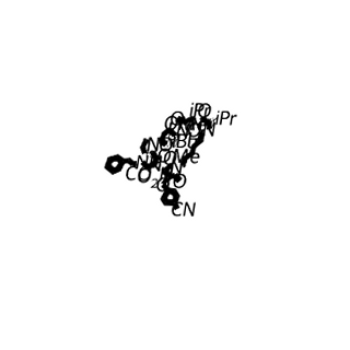 CC[C@@H](C)[C@@H]([C@@H](CC(=O)N1CCC[C@H]1[C@H](OC)[C@@H](C)C(=O)NC(Cc1ccccc1)C(=O)O)OC)N(C)C(=O)[C@@H](NC(=O)[C@H](C(C)C)N(C)C(=O)CCCCCN1C(=O)C=C(Oc2ccc(C#N)cc2)C1=O)C(C)C